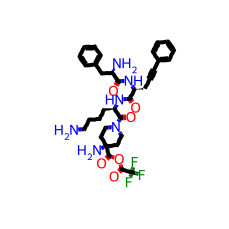 NCCCC[C@@H](NC(=O)[C@@H](CC#Cc1ccccc1)NC(=O)[C@H](N)Cc1ccccc1)C(=O)N1CCC(N)(C(=O)OC(=O)C(F)(F)F)CC1